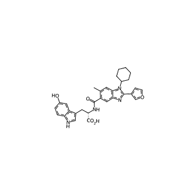 Cc1cc2c(cc1C(=O)N[C@@H](Cc1c[nH]c3ccc(O)cc13)C(=O)O)nc(-c1ccoc1)n2C1CCCCC1